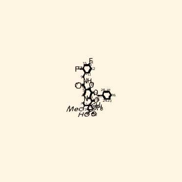 COC1Cn2cc(C(=O)NCc3ccc(F)cc3F)c(=O)c(OCc3ccccc3)c2C(=O)C1(C)CP(=O)(O)O